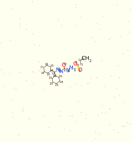 C=CCS(=O)(=O)CN=NC(=O)N=NC(C1CCCCC1)C1CCCCC1